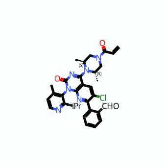 C=CC(=O)N1C[C@H](C)N(c2nc(=O)n(-c3c(C)ccnc3C(C)C)c3nc(-c4ccccc4C=O)c(Cl)cc23)[C@@H](C)C1